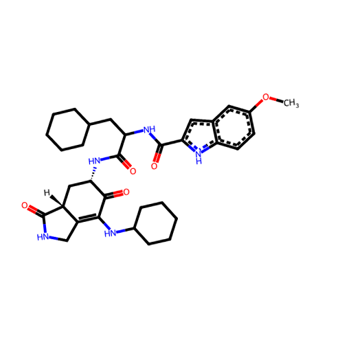 COc1ccc2[nH]c(C(=O)NC(CC3CCCCC3)C(=O)N[C@H]3C[C@H]4C(=O)NCC4=C(NC4CCCCC4)C3=O)cc2c1